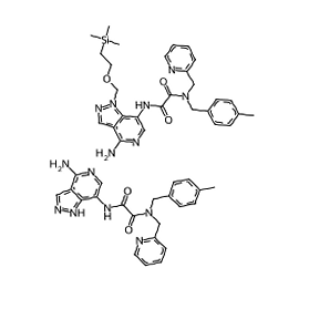 Cc1ccc(CN(Cc2ccccn2)C(=O)C(=O)Nc2cnc(N)c3cn[nH]c23)cc1.Cc1ccc(CN(Cc2ccccn2)C(=O)C(=O)Nc2cnc(N)c3cnn(COCC[Si](C)(C)C)c23)cc1